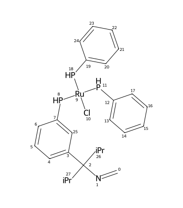 C=NC(c1cccc([PH][Ru]([Cl])([PH]c2ccccc2)[PH]c2ccccc2)c1)(C(C)C)C(C)C